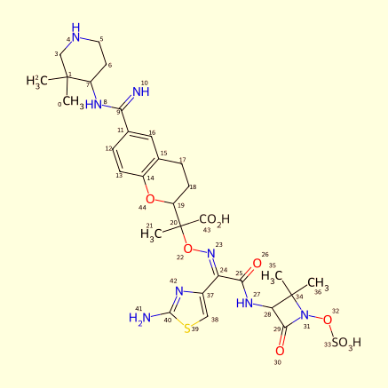 CC1(C)CNCCC1NC(=N)c1ccc2c(c1)CCC(C(C)(ON=C(C(=O)NC1C(=O)N(OS(=O)(=O)O)C1(C)C)c1csc(N)n1)C(=O)O)O2